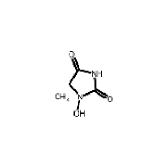 C.O=C1CN(O)C(=O)N1